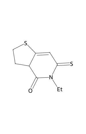 CCN1C(=O)C2CCSC2=CC1=S